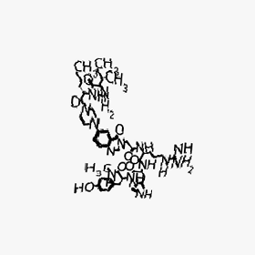 CCCC[C@H](NC(=O)[C@@H](N)[C@@H](C)CC)C(=O)N1CCN(c2ccc3ncn(CC(=O)N[C@@H](CCCNC(=N)N)C(=O)N[C@@H](Cc4c[nH]cn4)C(=O)N[C@@H](Cc4ccc(O)cc4)C(=O)NC)c(=O)c3c2)CC1